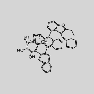 Bc1c(B)c(O)c(-c2cc3ccccc3cc2-c2c(C=C)c(C=C)c(-c3cccc4oc(CC)c(/C=C5/C=CC=CC5)c34)c3ccccc23)c(O)c1O